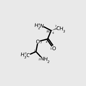 CC(N)OC(=O)[C@@H](C)N